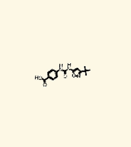 CC(C)(C)c1cc(NC(=O)Nc2ccc(C(=O)O)cc2)on1